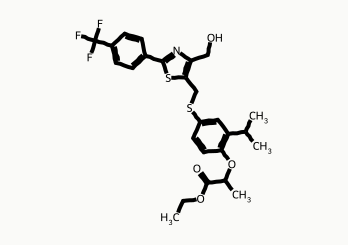 CCOC(=O)C(C)Oc1ccc(SCc2sc(-c3ccc(C(F)(F)F)cc3)nc2CO)cc1C(C)C